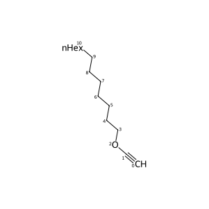 C#COCCCCCCCCCCCCC